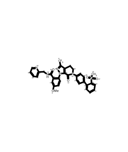 COc1ccc(-n2nc(C(F)(F)F)c3c2C(=O)N(c2ccc(-c4ccccc4S(C)(=O)=O)cc2)CC3)c(C(=O)NCc2ccccn2)c1